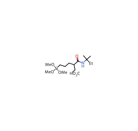 CCC(C)(C)NC(=O)C(CCC[Si](OC)(OC)OC)CC(=O)O